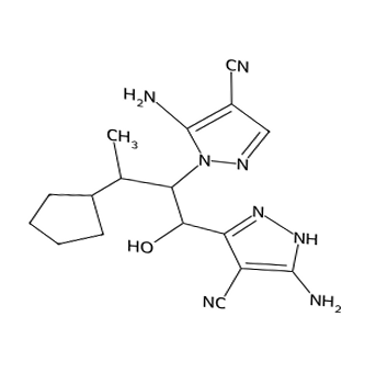 CC(C1CCCC1)C(C(O)c1n[nH]c(N)c1C#N)n1ncc(C#N)c1N